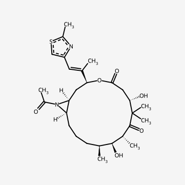 CC(=O)N1[C@@H]2CCC[C@H](C)[C@H](O)[C@@H](C)C(=O)C(C)(C)[C@@H](O)CC(=O)O[C@H](C(C)=Cc3csc(C)n3)C[C@@H]21